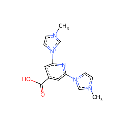 Cn1cc[n+](-c2cc(C(=O)O)cc(-[n+]3ccn(C)c3)n2)c1